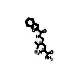 CC(C)[C@@H](CNC(=O)c1cc2ccccc2o1)C[C@H](N)C(N)=O